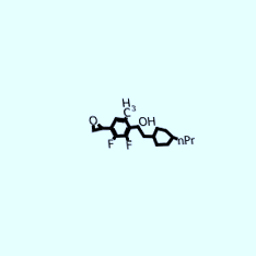 CCCC1CCC(CC(O)c2c(C)cc(C3CO3)c(F)c2F)CC1